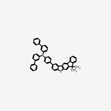 CC1(C)c2ccccc2-c2cc3c(cc21)sc1ccc(-c2ccc(N(c4cccc(-c5ccccc5)c4)c4cccc(-c5ccccc5)c4)cc2)cc13